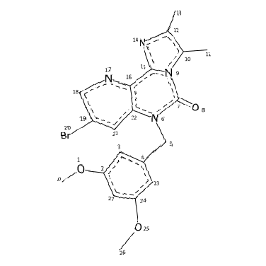 COc1cc(Cn2c(=O)n3c(C)c(C)nc3c3ncc(Br)cc32)cc(OC)c1